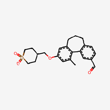 Cc1cc(OCC2CCS(=O)(=O)CC2)cc2c1-c1cc(C=O)ccc1CCC2